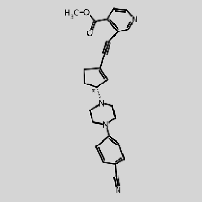 COC(=O)c1ccncc1C#CC1=C[C@H](N2CCN(c3ccc(C#N)cc3)CC2)CC1